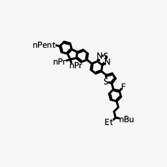 CCCCCc1ccc2c(c1)C(CCC)(CCC)c1cc(-c3ccc(-c4ccc(-c5ccc(CCC(CC)CCCC)cc5F)s4)c4nsnc34)ccc1-2